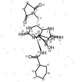 N=C1NC2[C@@H](CN3C(=O)CCC3=O)NC(=N)N3C[C@H](NC(=O)C4CCCCC4)C(O)(O)C23N1